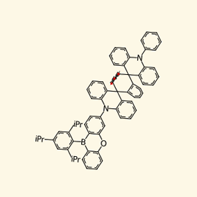 CC(C)c1cc(C(C)C)c(B2c3ccccc3Oc3cc(N4c5ccccc5C5(c6ccccc64)c4ccccc4C4(c6ccccc6N(c6ccccc6)c6ccccc64)c4ccccc45)ccc32)c(C(C)C)c1